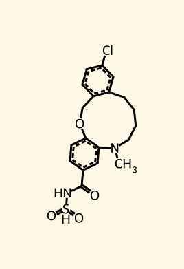 CN1CCCCc2cc(Cl)ccc2COc2ccc(C(=O)N[SH](=O)=O)cc21